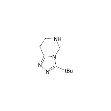 CC(C)(C)c1nnc2n1CNCC2